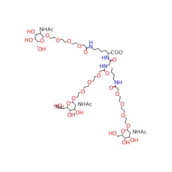 CC(=O)N[C@H]1[C@H](OCCOCCOCCOCC(=O)NCCCC[C@H](NC(=O)[C@H](CCCCNC(=O)COCCOCCOCCO[C@@H]2O[C@H](CO)[C@H](O)[C@H](O)[C@H]2NC(C)=O)NC(=O)COCCOCCOCCO[C@@H]2O[C@H](CO)[C@H](O)[C@H](O)[C@H]2NC(C)=O)C(=O)[O-])O[C@H](CO)[C@H](O)[C@@H]1O.[Na+]